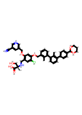 Cc1c(COc2cc(OCc3cncc(C#N)c3)c(CN[C@@](C)(CO)C(=O)O)cc2Cl)cccc1-c1cccc(-c2ccc(C3OCCCO3)cc2)c1C